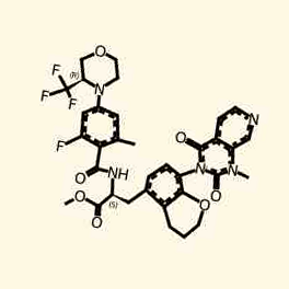 COC(=O)[C@H](Cc1ccc(-n2c(=O)c3ccncc3n(C)c2=O)c2c1CCCO2)NC(=O)c1c(C)cc(N2CCOC[C@@H]2C(F)(F)F)cc1F